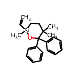 C=C[Si]1(C)CCC(C)(C)C(c2ccccc2)(c2ccccc2)O1